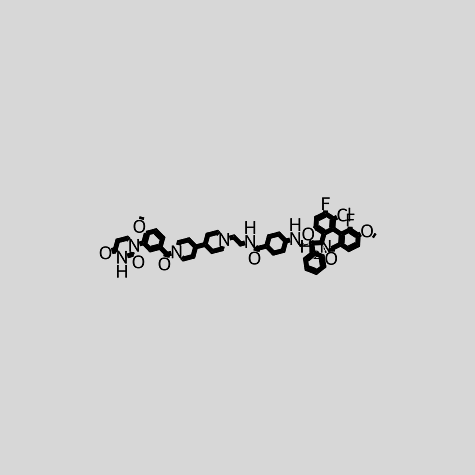 COc1ccc(C(=O)N2CCC(C3CCN(CCNC(=O)C4CCC(NC[C@]5(c6ccccc6)Oc6cc(F)c(Cl)c(-c7c(C(N)=O)ccc(OC)c7F)c6[C@@H]5C)CC4)CC3)CC2)cc1N1CCC(=O)NC1=O